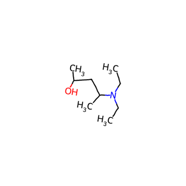 CCN(CC)C(C)CC(C)O